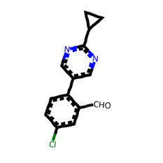 O=Cc1cc(Cl)ccc1-c1cnc(C2CC2)nc1